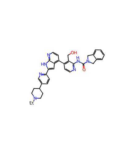 CCN1CCC(c2ccc(-c3cc4c(-c5ccnc(NC(=O)N6Cc7ccccc7C6)c5CO)ccnc4[nH]3)nc2)CC1